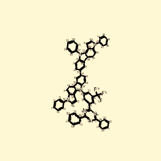 FC(F)(F)c1cc(-c2nc(-c3ccccc3)nc(-c3ccccc3)n2)cc(-n2c3ccc(-c4ccc5c(c4)c4ccc6c(ccn6-c6ccccc6)c4n5-c4ccccc4)cc3c3ccc4c(ccn4-c4ccccc4)c32)c1